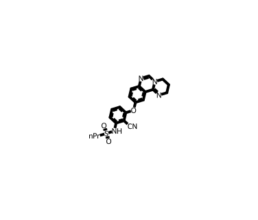 CCCS(=O)(=O)Nc1cccc(Oc2ccc3c(c2)C2=NCCCN2C=N3)c1C#N